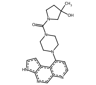 CC1(O)CCN(C(=O)N2CCN(c3ccnc4cnc5[nH]ccc5c34)CC2)C1